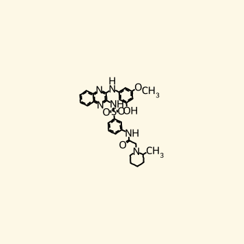 COc1cc(O)cc(Nc2nc3ccccc3nc2NS(=O)(=O)c2cccc(NC(=O)CN3CCCCC3C)c2)c1